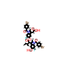 CCC(C)C(C(=O)Oc1cc2c(CC(=O)O)c(C)n(C(=O)c3ccc(Br)cc3)c2cc1F)c1c(C)n(C(=O)c2ccc(Br)cc2)c2cc(F)c(O)cc12